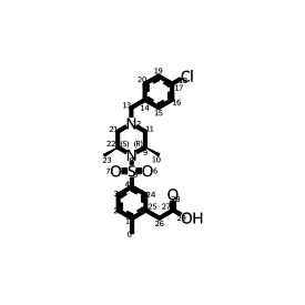 Cc1ccc(S(=O)(=O)N2[C@H](C)CN(Cc3ccc(Cl)cc3)C[C@@H]2C)cc1CC(=O)O